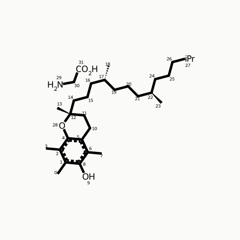 Cc1c(C)c2c(c(C)c1O)CC[C@@](C)(CCC[C@H](C)CCC[C@H](C)CCCC(C)C)O2.NCC(=O)O